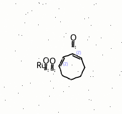 C1=C\CCCC\C=C/1.[C]=O.[C]=O.[C]=O.[Ru]